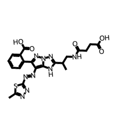 Cc1nnc(N=Nc2c(-c3ccccc3C(=O)O)nn3nc(C(C)CNC(=O)CCC(=O)O)[nH]c23)s1